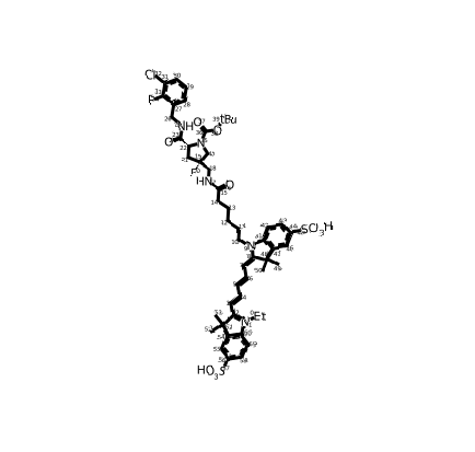 CC[N+]1=C(/C=C/C=C/C=C2/N(CCCCCC(=O)NC[C@@]3(F)C[C@@H](C(=O)NCc4cccc(Cl)c4F)N(C(=O)OC(C)(C)C)C3)c3ccc(S(=O)(=O)O)cc3C2(C)C)C(C)(C)c2cc(S(=O)(=O)O)ccc21